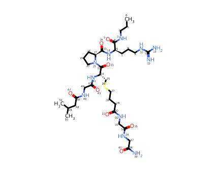 CCCNC(=O)[C@@H](CCCNC(=N)N)NC(=O)[C@@H]1CCCN1C(=O)[C@H](CSCCCC(=O)NCC(=O)NCC(N)=O)NC(=O)CNC(=O)CC(C)C